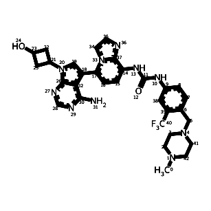 CN1CCN(Cc2ccc(NC(=O)Nc3ccc(-c4cn(C5CC(O)C5)c5ncnc(N)c45)n4ccnc34)cc2C(F)(F)F)CC1